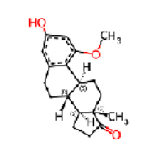 COc1cc(O)cc2c1[C@H]1CC[C@]3(C)C(=O)CC[C@H]3[C@@H]1CC2